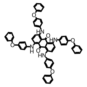 O=C1c2c(Nc3ccc(Oc4ccccc4)cc3)ccc(Nc3ccc(Oc4ccccc4)cc3)c2C(=O)c2c(Nc3ccc(Oc4ccccc4)cc3)ccc(Nc3ccc(Oc4ccccc4)cc3)c21